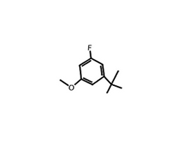 COc1cc(F)cc(C(C)(C)C)c1